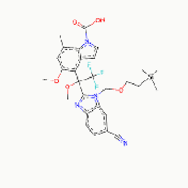 COc1cc(C)c2c(ccn2C(=O)O)c1C(OC)(c1nc2ccc(C#N)cc2n1COCC[Si](C)(C)C)C(F)(F)F